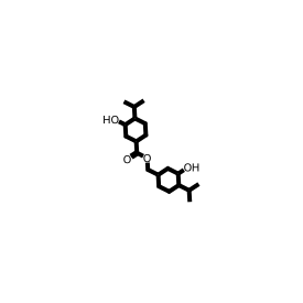 CC(C)C1CCC(COC(=O)C2CCC(C(C)C)C(O)C2)CC1O